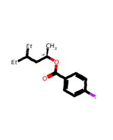 CCC(CC)C[C@@H](C)OC(=O)c1ccc(I)cc1